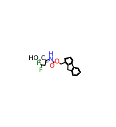 O=C(N[C@@H](CC(F)F)C(=O)O)OCc1cccc2c1Cc1ccccc1-2